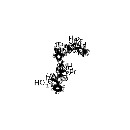 CCCC(NC(=O)C[C@H]1CCC(=O)[C@H]1CNC(=O)[C@@H](NC(=O)[C@H](NC(=O)c1cnccn1)C(C)C)C(C)C)C(=O)C(=O)N[C@@H](Cc1ccccc1)C(=O)O